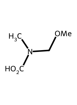 COCN(C)C(=O)O